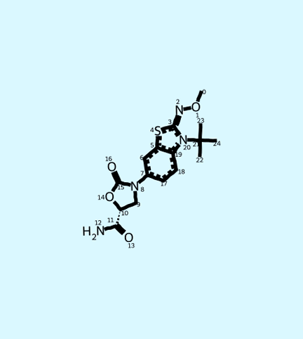 CO/N=c1/sc2cc(N3C[C@H](C(N)=O)OC3=O)ccc2n1C(C)(C)C